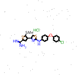 CSc1sc(C(=N)N)cc1-c1csc(Nc2ccc(Oc3ccc(Cl)cc3)cc2)n1.Cl